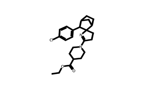 CCOC(=O)C1CCN(C2=NC3(CC2)C2CCC(C2)C3c2ccc(Cl)cc2)CC1